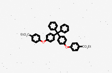 CCOC(=O)c1ccc(Oc2ccc(C(c3ccccc3)(c3ccccc3)c3ccc(Oc4ccc(C(=O)OCC)cc4)cc3)cc2)cc1